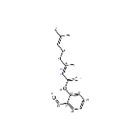 CC(C)=CCC/C(C)=C/C(=O)Oc1ccccc1C=O